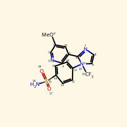 COc1cncc(C2=NC=C[N+]2(c2ccc(S(N)(=O)=O)cc2)C(F)(F)F)c1